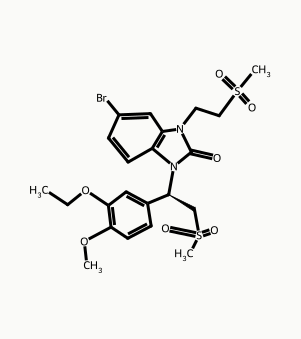 CCOc1cc([C@H](CS(C)(=O)=O)n2c(=O)n(CCS(C)(=O)=O)c3cc(Br)ccc32)ccc1OC